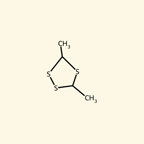 CC1SSC(C)S1